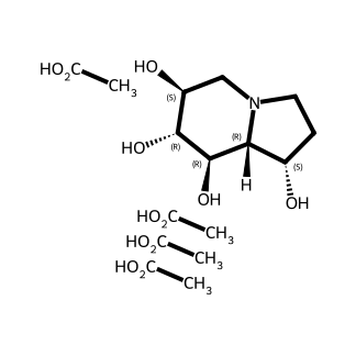 CC(=O)O.CC(=O)O.CC(=O)O.CC(=O)O.O[C@H]1[C@H](O)[C@@H](O)CN2CC[C@H](O)[C@H]12